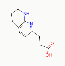 O=C(O)CCc1ccc2c(n1)NCCC2